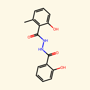 Cc1cccc(O)c1C(=O)NNC(=O)c1ccccc1O